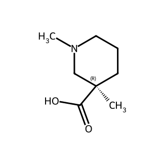 CN1CCC[C@@](C)(C(=O)O)C1